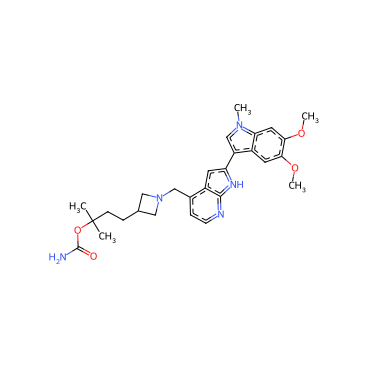 COc1cc2c(-c3cc4c(CN5CC(CCC(C)(C)OC(N)=O)C5)ccnc4[nH]3)cn(C)c2cc1OC